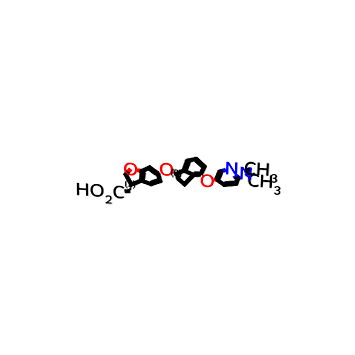 CN(C)c1ccc(Oc2cccc3c2CC[C@H]3Oc2ccc3c(c2)OC[C@H]3CC(=O)O)cn1